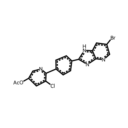 CC(=O)Oc1cnc(-c2ccc(-c3nc4ncc(Br)cc4[nH]3)cc2)c(Cl)c1